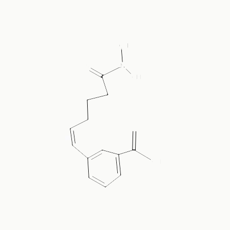 CC(=O)c1cccc(/C=C\CCCC(=O)N(C)C)c1